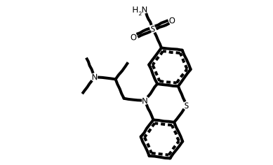 CC(CN1c2ccccc2Sc2ccc(S(N)(=O)=O)cc21)N(C)C